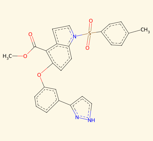 COC(=O)c1c(Oc2cccc(-c3cc[nH]n3)c2)ccc2c1ccn2S(=O)(=O)c1ccc(C)cc1